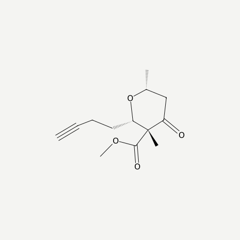 C#CCC[C@@H]1O[C@H](C)CC(=O)[C@]1(C)C(=O)OC